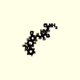 CN(C)C1(c2ccccc2)CCC2(CC1)CC(=O)N(CCC(C)(C)C(=O)NCC(N)=O)C2